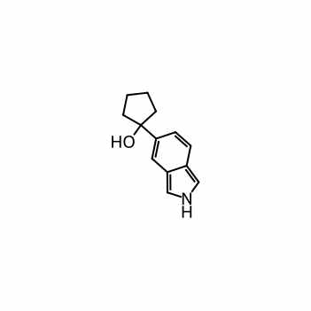 OC1(c2ccc3c[nH]cc3c2)CCCC1